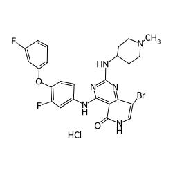 CN1CCC(Nc2nc(Nc3ccc(Oc4cccc(F)c4)c(F)c3)c3c(=O)[nH]cc(Br)c3n2)CC1.Cl